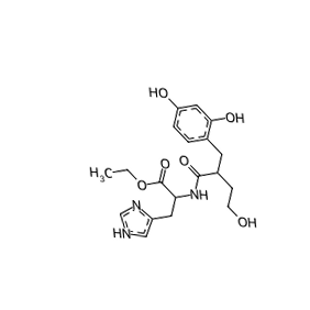 CCOC(=O)C(Cc1c[nH]cn1)NC(=O)C(CCO)Cc1ccc(O)cc1O